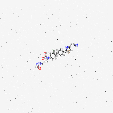 CC(=O)NC[C@H]1CN(c2ccc(-c3ccc(-c4nc(CC#N)cs4)cc3)c(F)c2)C(=O)O1